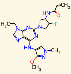 C=CC(=O)NC1CN(c2nc(Nc3cn(C)nc3OC)c3ncn(CC)c3n2)CC1F